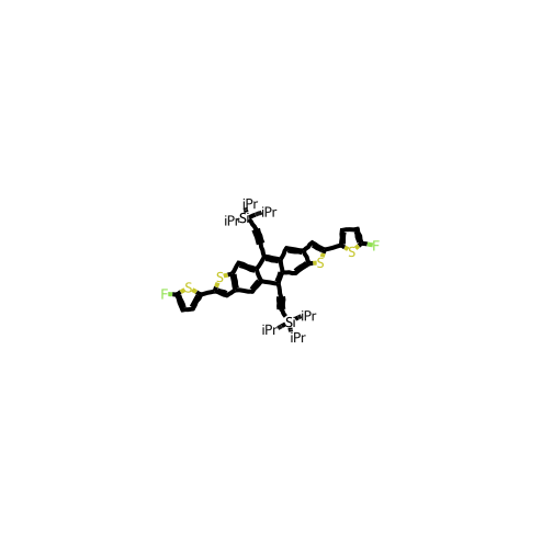 CC(C)[Si](C#Cc1c2cc3cc(-c4ccc(F)s4)sc3cc2c(C#C[Si](C(C)C)(C(C)C)C(C)C)c2cc3cc(-c4ccc(F)s4)sc3cc12)(C(C)C)C(C)C